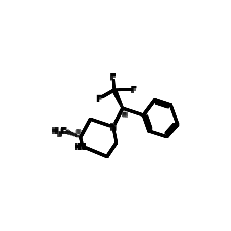 C[C@@H]1CN([C@H](c2ccccc2)C(F)(F)F)CCN1